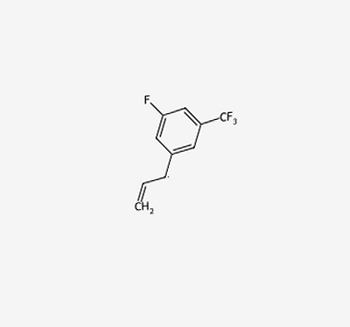 C=C[CH]c1cc(F)cc(C(F)(F)F)c1